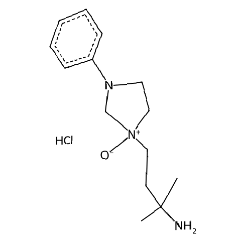 CC(C)(N)CC[N+]1([O-])CCN(c2ccccc2)C1.Cl